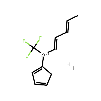 CC=CC=[CH][Zr+2]([C]1=CC=CC1)[C](F)(F)F.[H-].[H-]